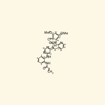 C=CC(=O)Nc1ccccc1Nc1cc(N(Cc2cccnc2)C(=O)Nc2cc(OC)cc(OC)c2Cl)ncn1